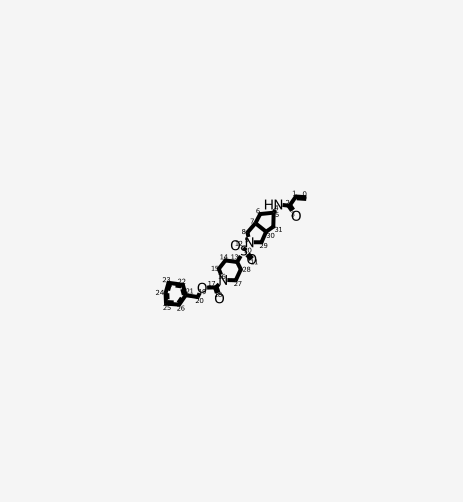 C=CC(=O)NC1CC2CN(S(=O)(=O)C3CCN(C(=O)OCc4ccccc4)CC3)CC2C1